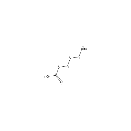 CCCCCCCCC([O])=O